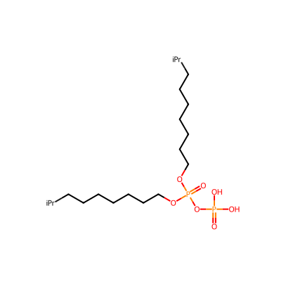 CC(C)CCCCCCCOP(=O)(OCCCCCCCC(C)C)OP(=O)(O)O